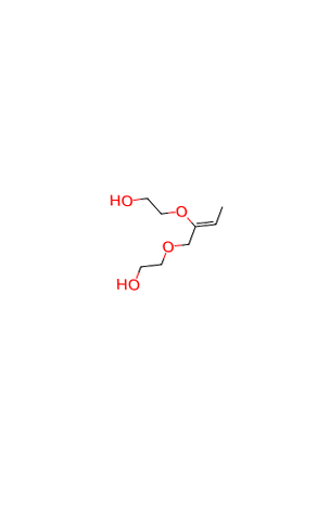 CC=C(COCCO)OCCO